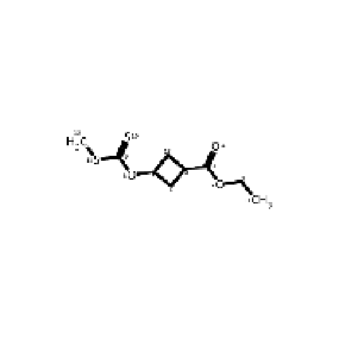 CCOC(=O)[C@H]1C[C@@H](OC(=S)SC)C1